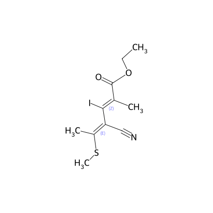 CCOC(=O)/C(C)=C(I)/C(C#N)=C(\C)SC